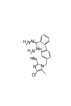 CCCCc1nc(Cl)c(C)n1Cc1ccc(-c2ccccc2/C(=N/N)NN)cc1